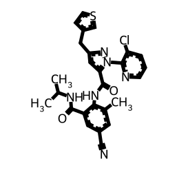 Cc1cc(C#N)cc(C(=O)NC(C)C)c1NC(=O)c1cc(Cc2ccsc2)nn1-c1ncccc1Cl